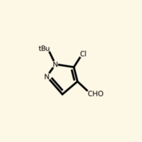 CC(C)(C)n1ncc(C=O)c1Cl